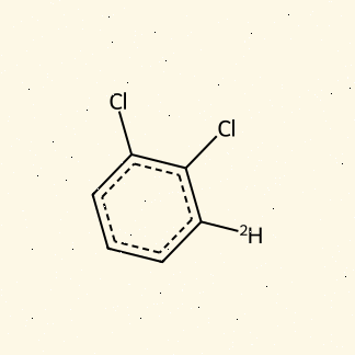 [2H]c1cccc(Cl)c1Cl